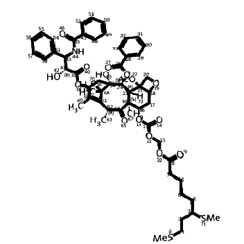 CSCCC(CCCCC(=O)OCOC(=O)O[C@H]1CC2OC[C@@]2(OC(C)=O)[C@H]2[C@H](OC(=O)c3ccccc3)[C@]3(O)CC(OC(=O)[C@H](O)C(NC(=O)c4ccccc4)c4ccccc4)C(C)=C([C@@H](C)C(=O)[C@]12C)C3(C)C)SC